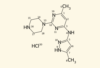 Cc1cc(Nc2cc(C)[nH]n2)nc(N2CCNCC2)n1.Cl